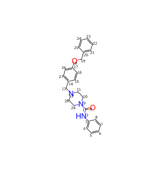 O=C(Nc1ccccc1)N1CCN(Cc2ccc(OCc3ccccc3)cc2)CC1